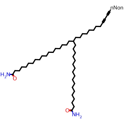 CCCCCCCCCC#CC#CCCCCCCCCC(CCCCCCCCCCCCCCCCCC(N)=O)CCCCCCCCCCCCCCCCCC(N)=O